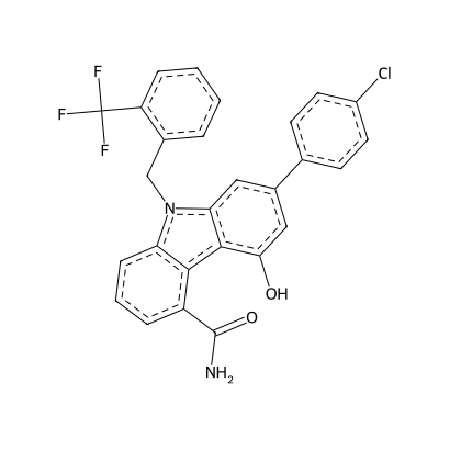 NC(=O)c1cccc2c1c1c(O)cc(-c3ccc(Cl)cc3)cc1n2Cc1ccccc1C(F)(F)F